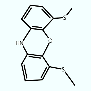 CSc1cccc2c1Oc1c(cccc1SC)N2